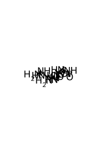 CC(NC(=O)C(N)CCCNC(=N)N)C(=O)NC(C)C(=O)NC(C)C(=O)N[C@H](C)[C]=O